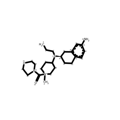 CCCN(C1CC[N+](C)(C(=O)N2CCOCC2)CC1)[C@@H]1CCc2ccc(N)cc2C1